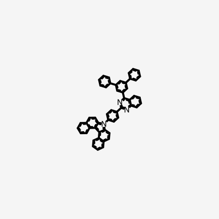 c1ccc(-c2cc(-c3ccccc3)cc(-c3nc(-c4ccc(-n5c6ccc7ccccc7c6c6c7ccccc7ccc65)cc4)nc4ccccc34)c2)cc1